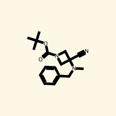 CN(Cc1ccccc1)C1(C#N)CN(C(=O)OC(C)(C)C)C1